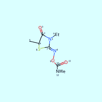 CCN1C(=O)C(C)SC1=NOC(=O)NC